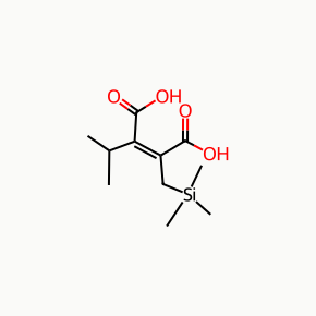 CC(C)C(C(=O)O)=C(C[Si](C)(C)C)C(=O)O